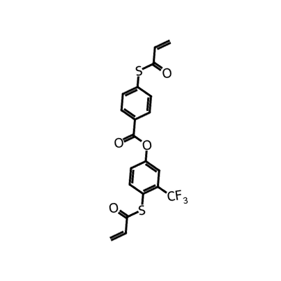 C=CC(=O)Sc1ccc(C(=O)Oc2ccc(SC(=O)C=C)c(C(F)(F)F)c2)cc1